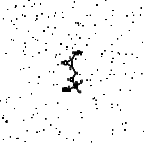 CCCC1OC1CO[Si](C)(C)C(C)(C)C